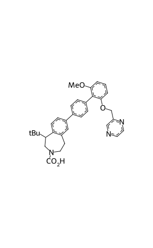 COc1cccc(OCc2cnccn2)c1-c1ccc(-c2ccc3c(c2)CCN(C(=O)O)CC3C(C)(C)C)cc1